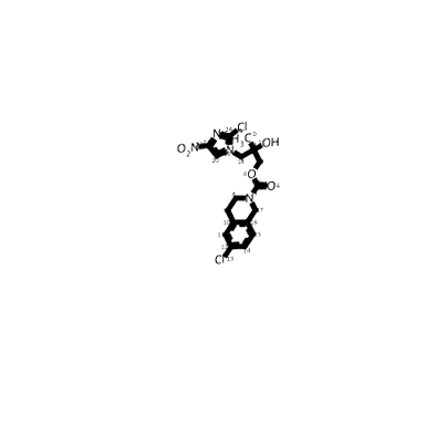 CC(O)(COC(=O)N1CCc2cc(Cl)ccc2C1)Cn1cc([N+](=O)[O-])nc1Cl